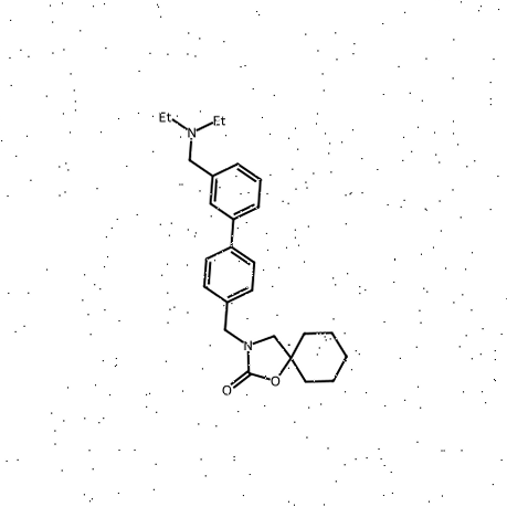 CCN(CC)Cc1cccc(-c2ccc(CN3CC4(CCCCC4)OC3=O)cc2)c1